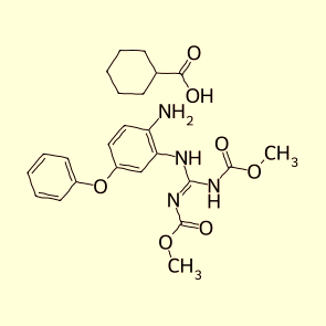 COC(=O)N=C(NC(=O)OC)Nc1cc(Oc2ccccc2)ccc1N.O=C(O)C1CCCCC1